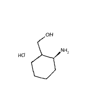 Cl.N[C@H]1CCCCC1CO